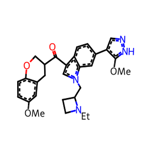 CCN1CCC1Cn1cc(C(=O)C2COc3ccc(OC)cc3C2)c2ccc(-c3cn[nH]c3OC)cc21